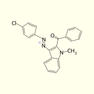 Cn1c(C(=O)c2ccccc2)c(/N=N/c2ccc(Cl)cc2)c2ccccc21